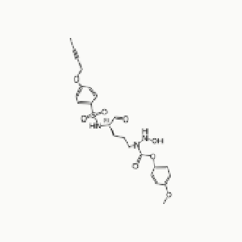 CC#CCOc1ccc(S(=O)(=O)N[C@@H](C=O)CCCN(NO)C(=O)Oc2ccc(OC)cc2)cc1